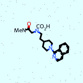 CNC(=O)CN(CCC1CCN(c2nccc3ccccc23)CC1)C(=O)O